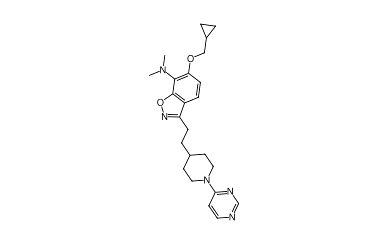 CN(C)c1c(OCC2CC2)ccc2c(CCC3CCN(c4ccncn4)CC3)noc12